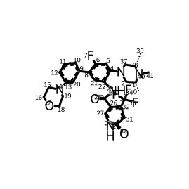 C[C@@H]1CN(c2cc(F)c(-c3cccc(N4CCOCC4)c3)cc2NC(=O)c2c[nH]c(=O)cc2C(F)(F)F)C[C@H](C)N1C